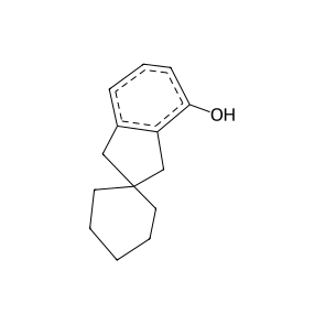 Oc1cccc2c1CC1(CCCCC1)C2